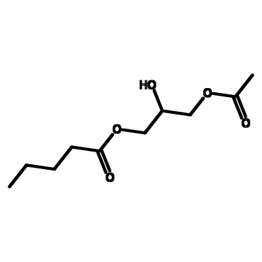 CCCCC(=O)OCC(O)COC(C)=O